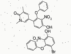 Cc1cc(-c2ccc(O)c([N+](=O)[O-])c2Oc2ccccc2)cn(C)c1=O.O=[N+]([O-])c1c(O)ccc(Br)c1Oc1ccccc1